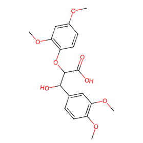 COc1ccc(OC(C(=O)O)C(O)c2ccc(OC)c(OC)c2)c(OC)c1